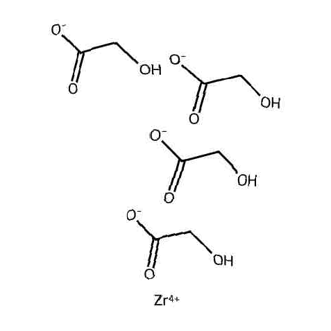 O=C([O-])CO.O=C([O-])CO.O=C([O-])CO.O=C([O-])CO.[Zr+4]